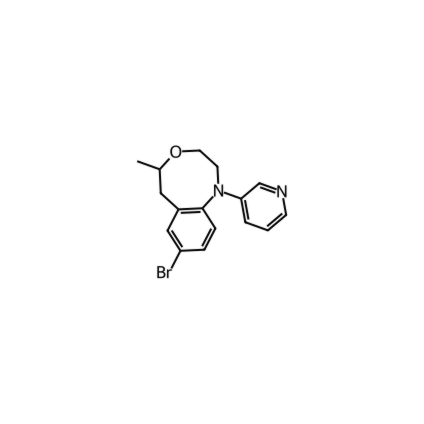 CC1Cc2cc(Br)ccc2N(c2cccnc2)CCO1